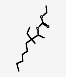 CCCCCCC(C)(CC)C(C)OC(=O)OCC